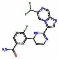 NC(=O)c1ccc(F)c(C2C=CN=C(c3cnc4cnc(C(F)F)cn34)N2)c1